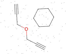 C#CCOCC#C.C1CCCCC1